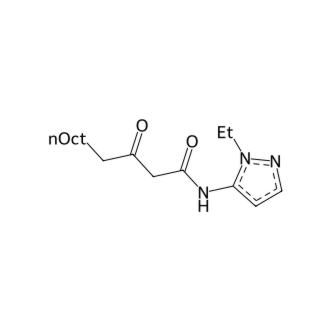 CCCCCCCCCC(=O)CC(=O)Nc1ccnn1CC